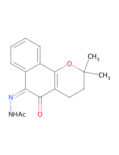 CC(=O)N/N=C1\C(=O)C2=C(OC(C)(C)CC2)c2ccccc21